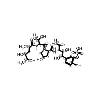 CC(=O)[C@@H](NC(=O)[C@@H]1C[C@@H](O)CN1C(=O)[C@@H](NC(=O)[C@@H](C)C[C@@H](O)[C@H](C)O)[C@@H](C)O)[C@H](O)[C@@H](O)c1ccc(O)c(OS(=O)(=O)O)c1